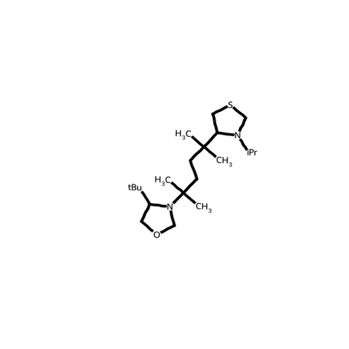 CC(C)N1CSCC1C(C)(C)CCC(C)(C)N1COCC1C(C)(C)C